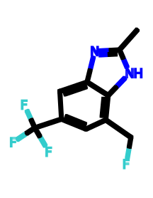 Cc1nc2cc(C(F)(F)F)cc(CF)c2[nH]1